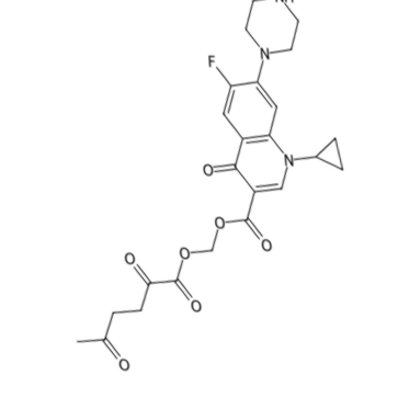 CC(=O)CCC(=O)C(=O)OCOC(=O)c1cn(C2CC2)c2cc(N3CCNCC3)c(F)cc2c1=O